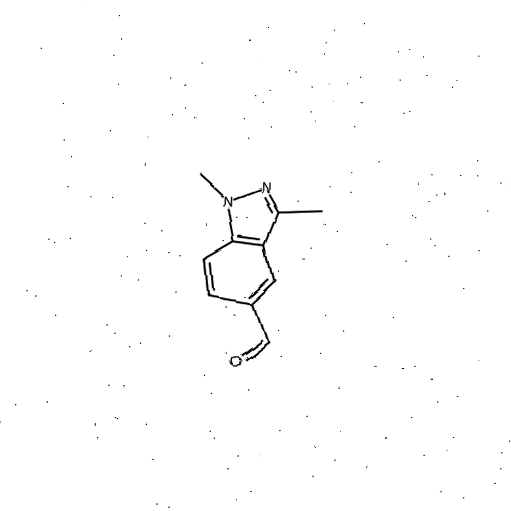 Cc1nn(C)c2ccc(C=O)cc12